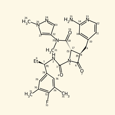 CC[C@@H](NC(=O)N1C(=O)[C@H](Cc2ccnc(N)c2)[C@H]1C(=O)N(C)c1cnn(C)c1)c1cc(C)c(F)c(C)c1